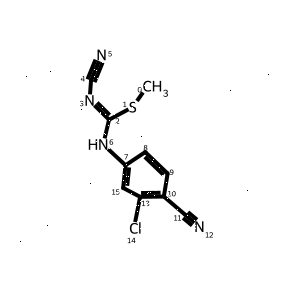 CS/C(=N\C#N)Nc1ccc(C#N)c(Cl)c1